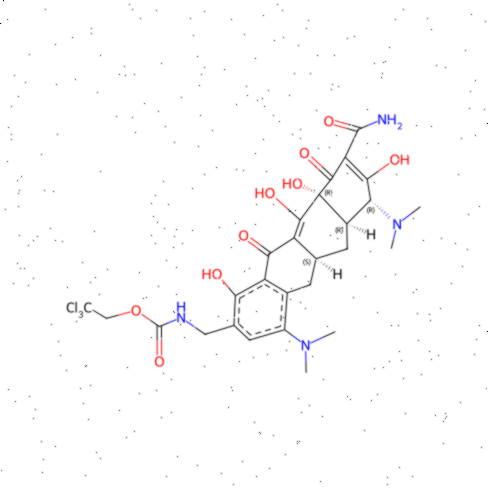 CN(C)c1cc(CNC(=O)OCC(Cl)(Cl)Cl)c(O)c2c1C[C@@H]1C[C@@H]3[C@@H](N(C)C)C(O)=C(C(N)=O)C(=O)[C@]3(O)C(O)=C1C2=O